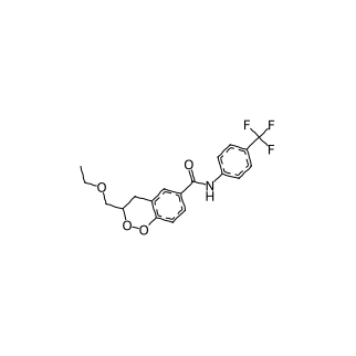 CCOCC1Cc2cc(C(=O)Nc3ccc(C(F)(F)F)cc3)ccc2OO1